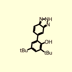 CC(C)(C)c1cc(-c2ccc3n[nH]nc3c2)c(O)c(C(C)(C)C)c1